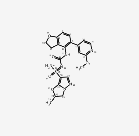 COc1cc(-c2ccc3c(c2NC(=O)N=[S@@](N)(=O)c2cnn4c2O[C@H](C)C4)CCO3)ccn1